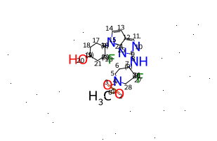 CS(=O)(=O)N1CC[C@@H](Nc2ncc3ccn([C@@H]4CC[C@H](O)C[C@H]4F)c3n2)[C@H](F)C1